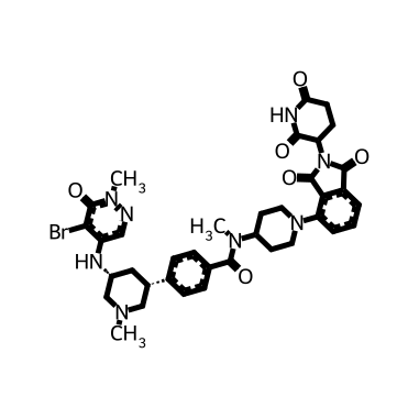 CN1C[C@H](Nc2cnn(C)c(=O)c2Br)C[C@H](c2ccc(C(=O)N(C)C3CCN(c4cccc5c4C(=O)N(C4CCC(=O)NC4=O)C5=O)CC3)cc2)C1